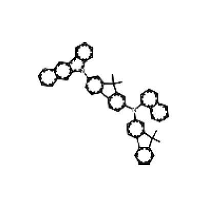 CC1(C)c2ccccc2-c2ccc(N(c3ccc4c(c3)C(C)(C)c3cc(-n5c6ccccc6c6cc7ccccc7cc65)ccc3-4)c3cccc4ccccc34)cc21